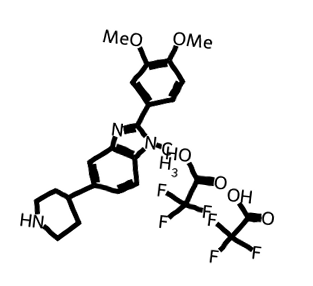 COc1ccc(-c2nc3cc(C4CCNCC4)ccc3n2C)cc1OC.O=C(O)C(F)(F)F.O=C(O)C(F)(F)F